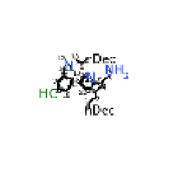 CCCCCCCCCCCCCCCCN.CCCCCCCCCCCC[N+](C)(C)Cc1ccccc1.Cl.c1ccncc1